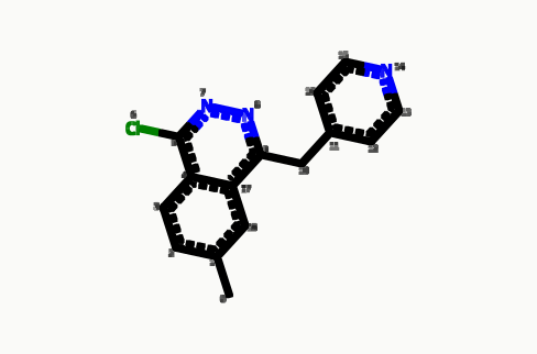 Cc1ccc2c(Cl)nnc(Cc3ccncc3)c2c1